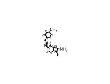 Cc1ccc(CN2CC3C(=N2)CCc2c3sc(N)c2I)cc1